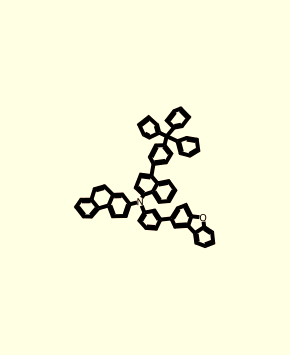 c1ccc(C(c2ccccc2)(c2ccccc2)c2ccc(-c3ccc(N(c4cccc(-c5ccc6oc7ccccc7c6c5)c4)c4ccc5c(ccc6ccccc65)c4)c4ccccc34)cc2)cc1